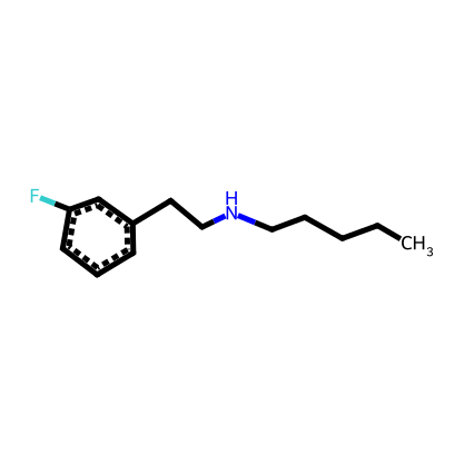 CCCCCNCCc1cccc(F)c1